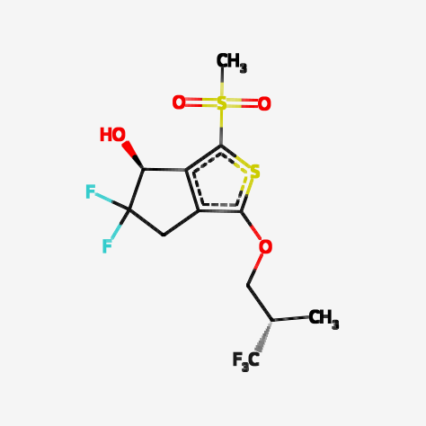 C[C@@H](COc1sc(S(C)(=O)=O)c2c1CC(F)(F)[C@H]2O)C(F)(F)F